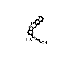 CC(=NOCCO)c1ccc2nnn(Cc3cc4cccnc4cc3F)c2n1